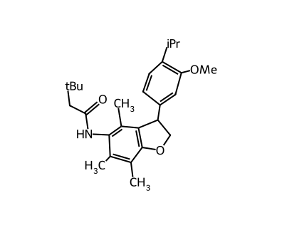 COc1cc(C2COc3c(C)c(C)c(NC(=O)CC(C)(C)C)c(C)c32)ccc1C(C)C